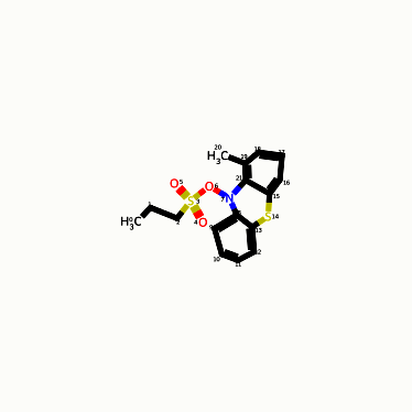 CCCS(=O)(=O)ON1c2ccccc2Sc2cccc(C)c21